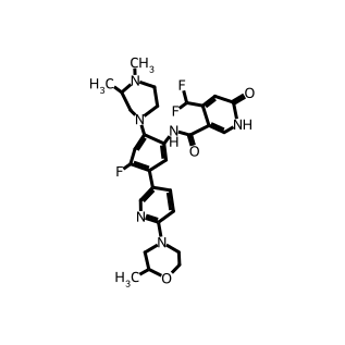 CC1CN(c2ccc(-c3cc(NC(=O)c4c[nH]c(=O)cc4C(F)F)c(N4CCN(C)C(C)C4)cc3F)cn2)CCO1